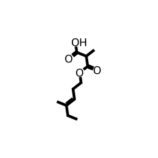 CCC(C)=CCCOC(=O)C(C)C(=O)O